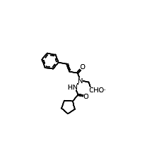 O=[C]CN(NC(=O)C1CCCC1)C(=O)/C=C/c1ccccc1